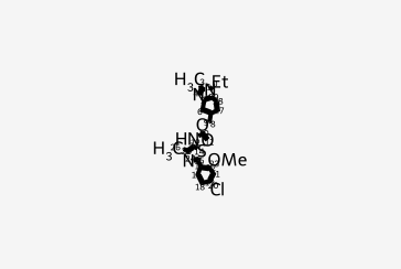 CCn1c(C)nc2cc(COC(=O)Nc3sc(-c4ccc(Cl)cc4OC)nc3C)ccc21